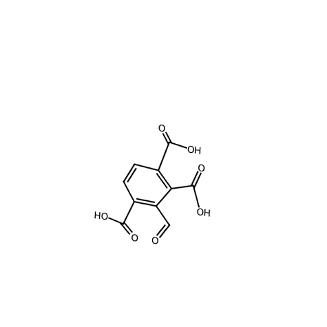 O=Cc1c(C(=O)O)ccc(C(=O)O)c1C(=O)O